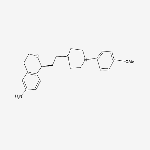 COc1ccc(N2CCN(CC[C@@H]3OCCc4cc(N)ccc43)CC2)cc1